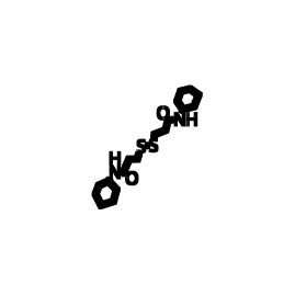 O=C(CCSSCCC(=O)NC1CCCCC1)NC1CCCCC1